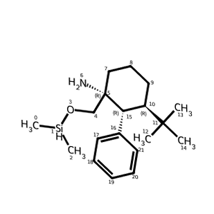 C[SiH](C)OC[C@@]1(N)CCC[C@@H](C(C)(C)C)[C@@H]1c1ccccc1